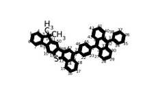 CC1(C)c2ccccc2-c2cc3sc4c5ccccc5c(-c5ccc(-c6c7ccccc7c(-c7ccccc7)c7ccccc67)cc5)cc4c3cc21